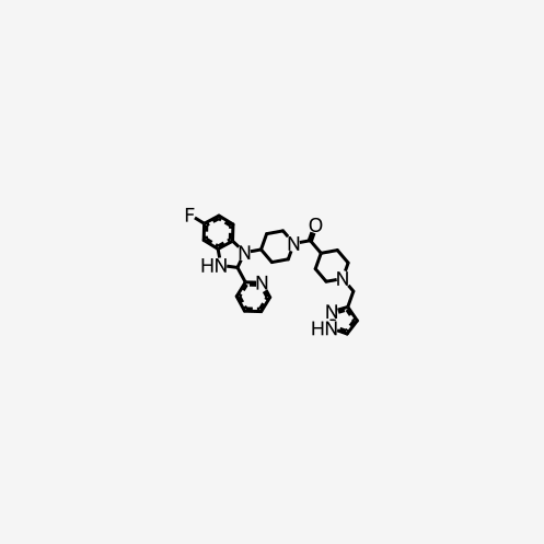 O=C(C1CCN(Cc2cc[nH]n2)CC1)N1CCC(N2c3ccc(F)cc3NC2c2ccccn2)CC1